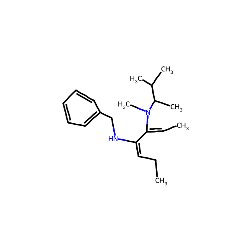 C/C=C(/C(=C\CC)NCc1ccccc1)N(C)C(C)C(C)C